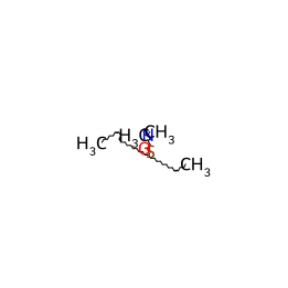 CCC/C=C\CCCCCCCCC(CCCCCCCC/C=C\C/C=C\CCCCC)SC(=O)CCCN(C)C